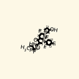 CCC(NC(=O)c1cn(-c2c(F)cc(F)cc2F)c2nc(N3CC[C@H](O)C3)c(F)cc2c1=O)C(F)(F)F